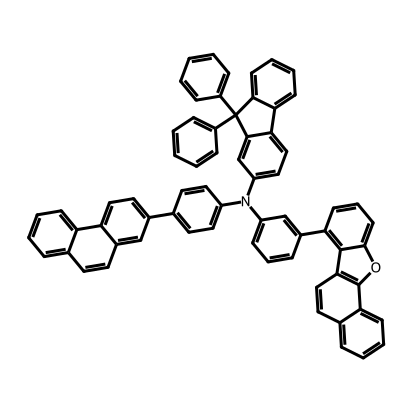 c1ccc(C2(c3ccccc3)c3ccccc3-c3ccc(N(c4ccc(-c5ccc6c(ccc7ccccc76)c5)cc4)c4cccc(-c5cccc6oc7c8ccccc8ccc7c56)c4)cc32)cc1